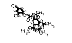 COC(=O)[C@H]1O[C@@H](NC(=O)COc2ccc(Cl)cc2Cl)[C@H](OC(C)=O)[C@@H](OC(C)=O)[C@@H]1OC(C)=O